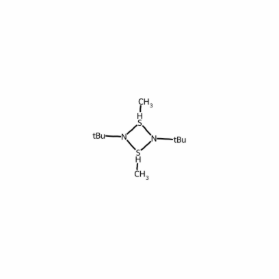 C[SH]1N(C(C)(C)C)[SH](C)N1C(C)(C)C